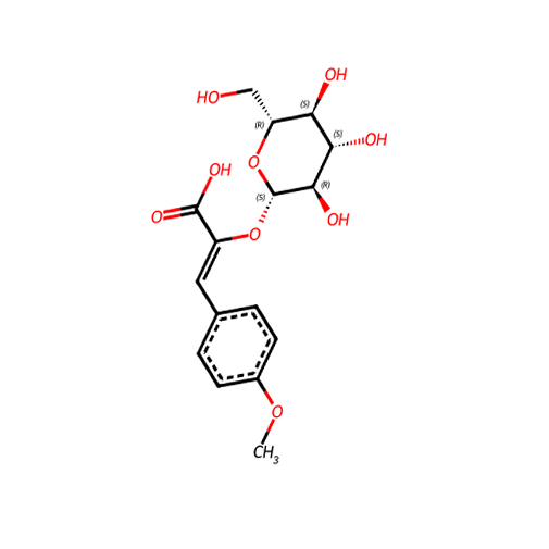 COc1ccc(C=C(O[C@@H]2O[C@H](CO)[C@@H](O)[C@H](O)[C@H]2O)C(=O)O)cc1